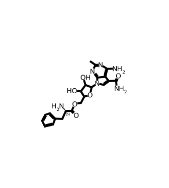 Cc1nc(N)c2c(C(N)=O)cn(C3OC(COC(=O)[C@@H](N)Cc4ccccc4)C(O)C3O)c2n1